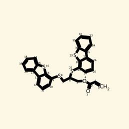 C=CC(=O)OCC(CSc1cccc2c1sc1ccccc12)Sc1cccc2c1sc1ccccc12